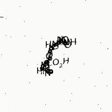 Cc1c(OC[C@@H]2CCC3(CCN(CC(=O)Nc4ccc5c([C@H]6CCC(=O)NC6=O)nn(C)c5c4)CC3)C2)cccc1-c1ccc(N2CCc3cccc(C(=O)Nc4nc5ccccc5s4)c3C2)nc1C(=O)O